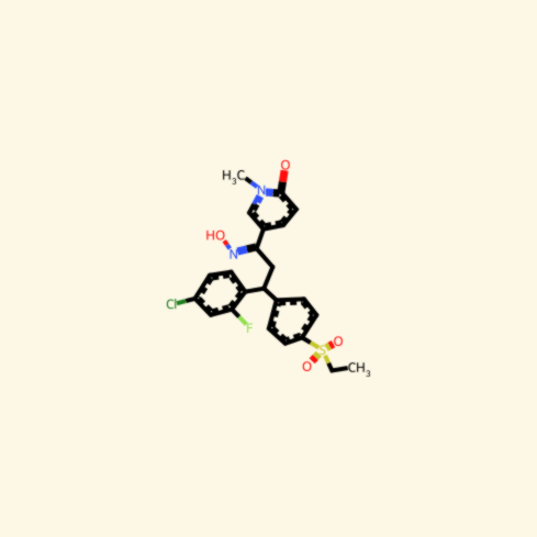 CCS(=O)(=O)c1ccc(C(CC(=NO)c2ccc(=O)n(C)c2)c2ccc(Cl)cc2F)cc1